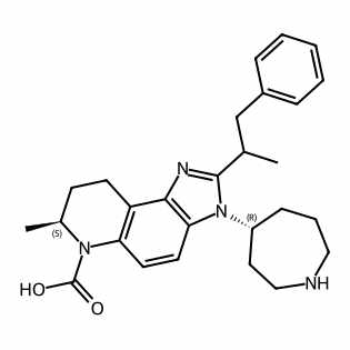 CC(Cc1ccccc1)c1nc2c3c(ccc2n1[C@@H]1CCCNCC1)N(C(=O)O)[C@@H](C)CC3